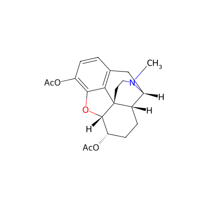 CC(=O)Oc1ccc2c3c1O[C@H]1[C@@H](OC(C)=O)CC[C@H]4[C@@H](C2)N(C)CC[C@@]341